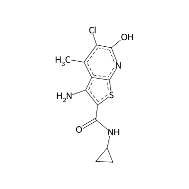 Cc1c(Cl)c(O)nc2sc(C(=O)NC3CC3)c(N)c12